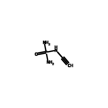 C#CNP(N)(N)=O